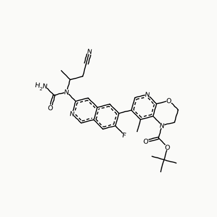 Cc1c(-c2cc3cc(N(C(N)=O)C(C)CC#N)ncc3cc2F)cnc2c1N(C(=O)OC(C)(C)C)CCO2